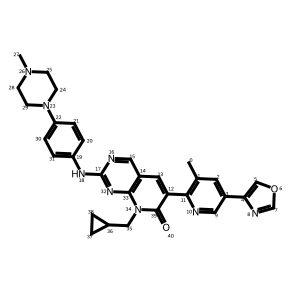 Cc1cc(-c2cocn2)cnc1-c1cc2cnc(Nc3ccc(N4CCN(C)CC4)cc3)nc2n(CC2CC2)c1=O